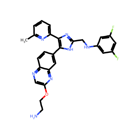 Cc1cccc(-c2nc(CNc3cc(F)cc(F)c3)[nH]c2-c2ccc3ncc(OCCN)nc3c2)n1